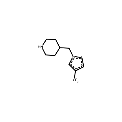 FC(F)(F)c1cnn(CC2CCNCC2)c1